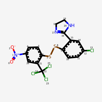 O=[N+]([O-])c1ccc(SSc2ccc(Cl)cc2C2=NCCN2)c(C(Cl)(Cl)Cl)c1